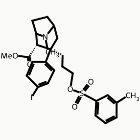 COC(=O)[C@@H]1C2CCC(C[C@@]1(CCCOS(=O)(=O)c1cccc(C)c1)c1ccc(I)cc1)N2C